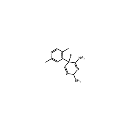 Cc1ccc(C)c(C2(F)C=NC(N)N=C2N)c1